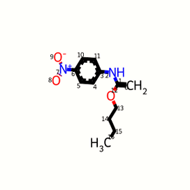 C=C(Nc1ccc([N+](=O)[O-])cc1)OCCCC